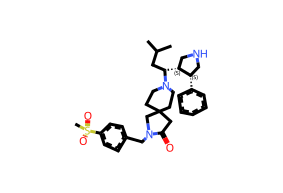 CC(C)CC([C@@H]1CNC[C@@H]1c1ccccc1)N1CCC2(CC1)CC(=O)N(Cc1ccc(S(C)(=O)=O)cc1)C2